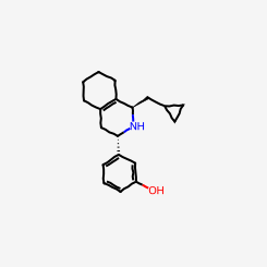 Oc1cccc([C@@H]2CC3=C(CCCC3)[C@@H](CC3CC3)N2)c1